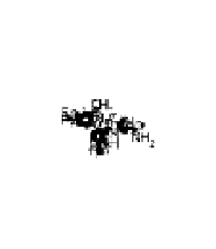 COc1cc(OC(F)(F)F)ccc1Oc1cnc(C(F)(F)F)c(F)c1C(=O)Nc1cc(C(N)=O)ncc1C